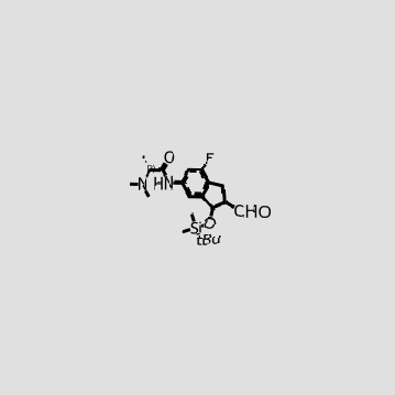 C[C@H](C(=O)Nc1cc(F)c2c(c1)C(O[Si](C)(C)C(C)(C)C)C(C=O)C2)N(C)C